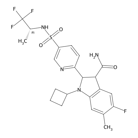 Cc1cc2c(cc1F)C(C(N)=O)C(c1ccc(S(=O)(=O)N[C@H](C)C(F)(F)F)cn1)N2C1CCC1